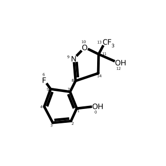 Oc1cccc(F)c1C1=NOC(O)(C(F)(F)F)C1